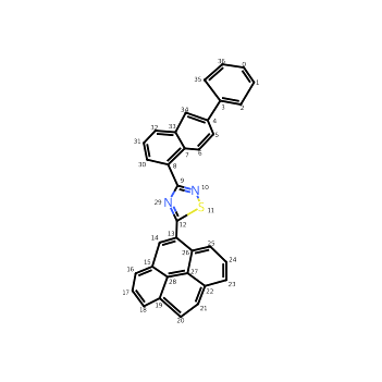 c1ccc(-c2ccc3c(-c4nsc(-c5cc6cccc7ccc8cccc5c8c76)n4)cccc3c2)cc1